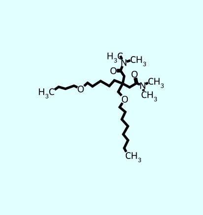 CCCCCCCCOCC(CCCCCOCCCC)(CC(=O)N(C)C)CC(=O)N(C)C